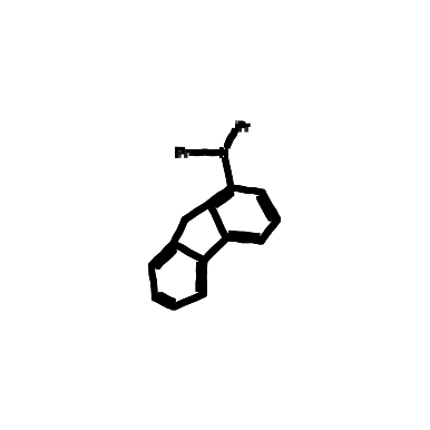 CC(C)N(c1cccc2c1Cc1ccccc1-2)C(C)C